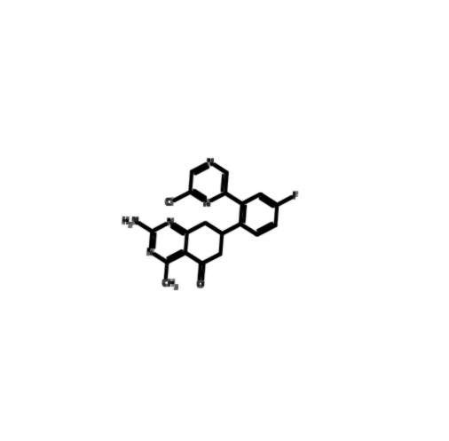 Cc1nc(N)nc2c1C(=O)CC(c1ccc(F)cc1-c1cncc(Cl)n1)C2